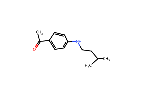 CC(=O)c1ccc(NCCC(C)C)cc1